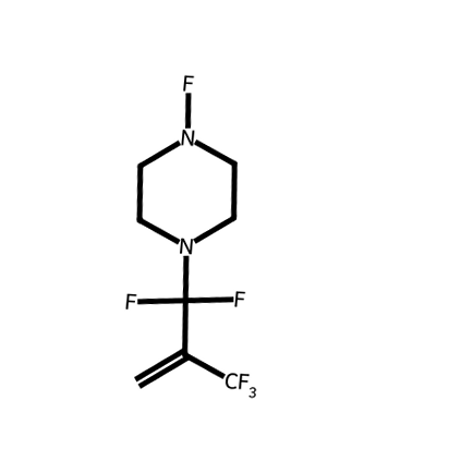 C=C(C(F)(F)F)C(F)(F)N1CCN(F)CC1